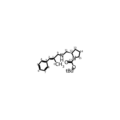 C/C(=C\c1ccccc1)CNC[C@H]1CCCN1C(=O)OC(C)(C)C